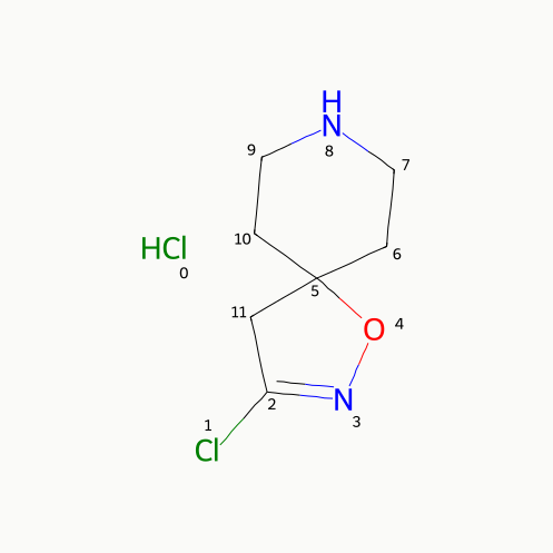 Cl.ClC1=NOC2(CCNCC2)C1